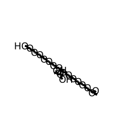 C=CC(=O)OCCOCCOCCOCCOCCOCCOCCOCCOCCOCCOCCOCCOCCOCCO.CC(O)COC(C)CO